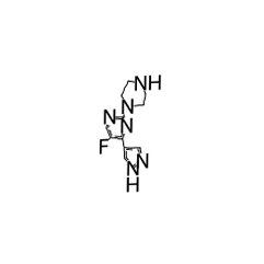 Fc1cnc(N2CCNCC2)nc1-c1cn[nH]c1